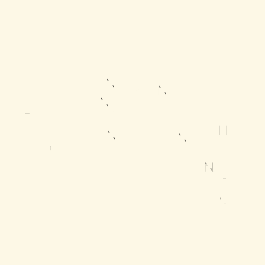 Cc1nnc(N[C@H](C)c2cccc(F)c2Cl)c2cc(N3CCN4C(=O)CC[C@@H]4C3)cnc12